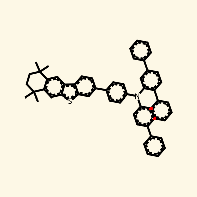 CC1(C)CCC(C)(C)c2cc3c(cc21)sc1cc(-c2ccc(N(c4ccc(-c5ccccc5)cc4)c4cc(-c5ccccc5)ccc4-c4ccccc4)cc2)ccc13